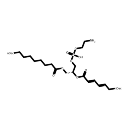 CCCCCCCCCCCC=CC=CC(=O)O[C@H](COC(=O)CCCCCCCCCCCCCCCCC)COP(=O)(O)OCCN